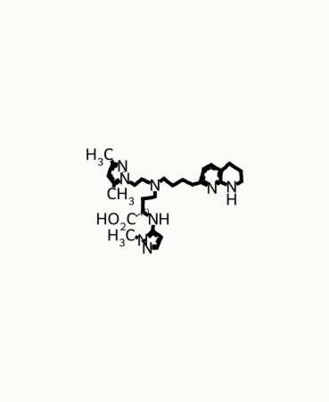 Cc1cc(C)n(CCN(CCCCc2ccc3c(n2)NCCC3)CC[C@H](Nc2ccnn2C)C(=O)O)n1